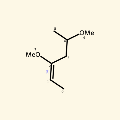 C/C=C(\CC(C)OC)OC